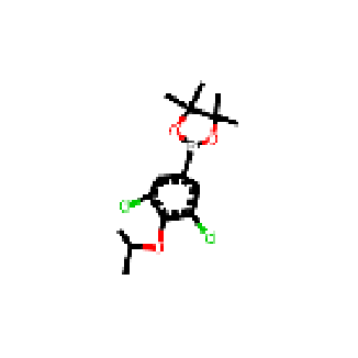 CC(C)Oc1c(Cl)cc(B2OC(C)(C)C(C)(C)O2)cc1Cl